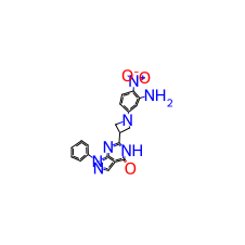 Nc1cc(N2CC(c3nc4c(cnn4-c4ccccc4)c(=O)[nH]3)C2)ccc1[N+](=O)[O-]